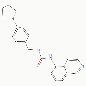 O=C(NCc1ccc(N2CCCC2)cc1)Nc1cccc2cnccc12